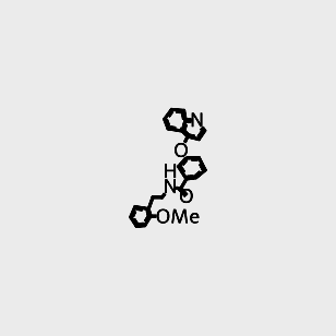 COc1ccccc1CCNC(=O)c1cccc(Oc2ccnc3ccccc23)c1